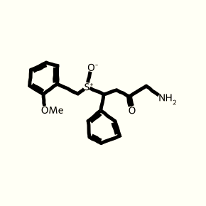 COc1ccccc1C[S+]([O-])C(CC(=O)CN)c1ccccc1